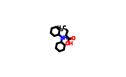 C1CCC(NC2CCCCC2)CC1.CCCC(=O)O